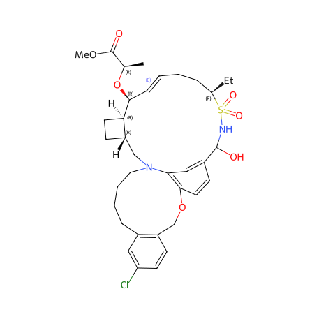 CC[C@@H]1CC/C=C/[C@H](O[C@H](C)C(=O)OC)[C@@H]2CC[C@H]2CN2CCCCc3cc(Cl)ccc3COc3ccc(cc32)C(O)NS1(=O)=O